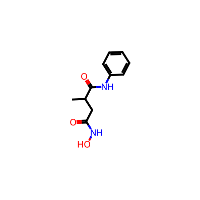 CC(CC(=O)NO)C(=O)Nc1ccccc1